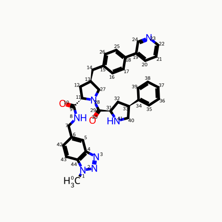 Cn1nnc2cc(CNC(=O)[C@@H]3C[C@@H](Cc4ccc(-c5cccnc5)cc4)CN3C(=O)[C@H]3C[C@@H](c4ccccc4)CN3)ccc21